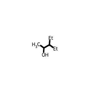 CC[C](CC)C(C)O